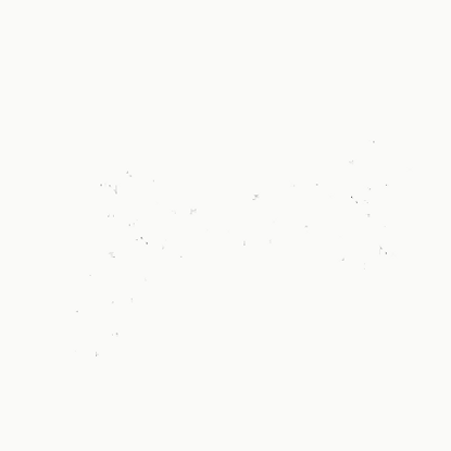 c1ccc(-c2ccc(-n3c4ccc(-c5ccc(-c6ccc7c(c6)c6ccncc6n7-c6ccccc6)cc5)cc4c4ccncc43)cc2)cc1